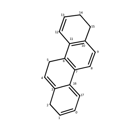 C1=CCC2=CCc3c(ccc4c3C=CCC4)C2=C1